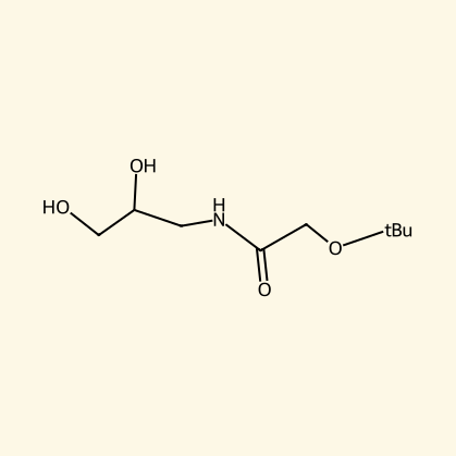 CC(C)(C)OCC(=O)NCC(O)CO